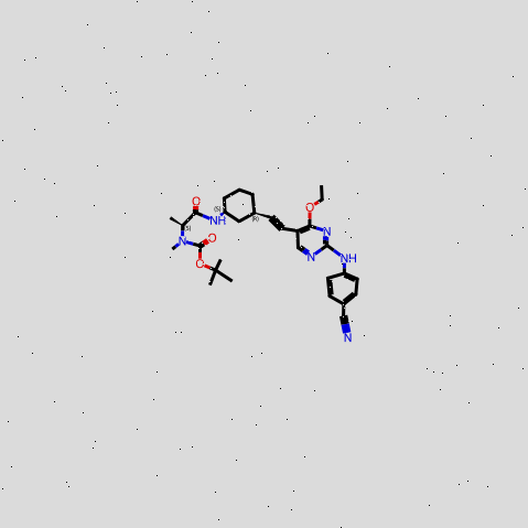 CCOc1nc(Nc2ccc(C#N)cc2)ncc1C#C[C@@H]1CCC[C@H](NC(=O)[C@H](C)N(C)C(=O)OC(C)(C)C)C1